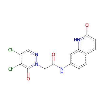 O=C(Cn1ncc(Cl)c(Cl)c1=O)Nc1ccc2ccc(=O)[nH]c2c1